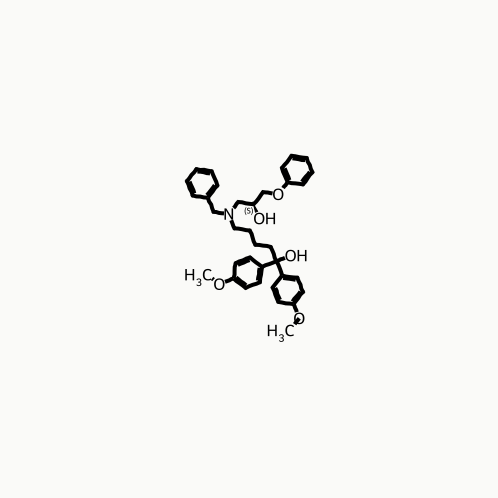 COc1ccc(C(O)(CCCCN(Cc2ccccc2)C[C@H](O)COc2ccccc2)c2ccc(OC)cc2)cc1